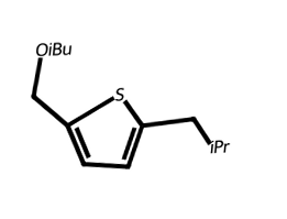 CC(C)COCc1ccc(CC(C)C)s1